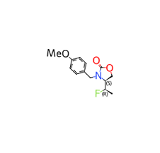 COc1ccc(CN2C(=O)OC[C@H]2[C@@H](C)F)cc1